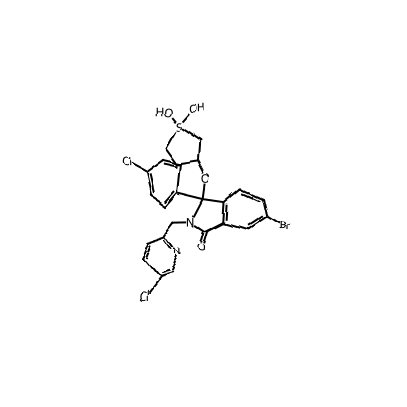 O=C1c2cc(Br)ccc2C(OC2CCS(O)(O)C2)(c2ccc(Cl)cc2)N1Cc1ccc(Cl)cn1